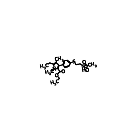 CCOC(=O)c1c(-c2ccc(SCCNS(C)(=O)=O)cc2)c(C)c(CC)n1C